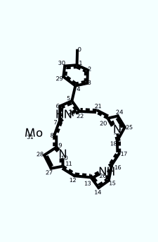 Cc1ccc(-c2cc3cc4nc(cc5ccc(cc6nc(cc2[nH]3)C=C6)[nH]5)C=C4)cc1.[Mo]